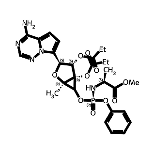 CCC(=O)O[C@H]1[C@H](c2ccc3c(N)ncnn23)O[C@]2(C)C(O[P@](=O)(N[C@@H](C)C(=O)OC)Oc3ccccc3)[C@]12OC(=O)CC